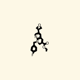 CCOC(=O)C1=Cc2cc(C3COC3)cnc2N(Cc2ccc(F)cc2)C1